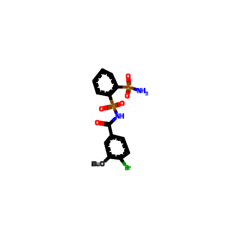 CC(C)COc1cc(C(=O)NS(=O)(=O)c2ccccc2S(N)(=O)=O)ccc1Br